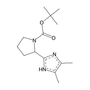 Cc1nc(C2CCCN2C(=O)OC(C)(C)C)[nH]c1C